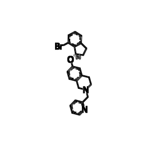 Brc1cccc2c1[C@@H](Oc1ccc3c(c1)CCN(Cc1ccccn1)C3)CC2